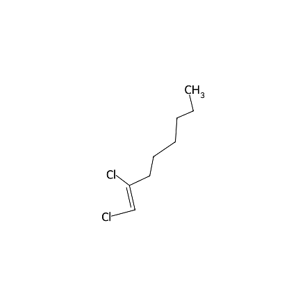 CCCCCCC(Cl)=CCl